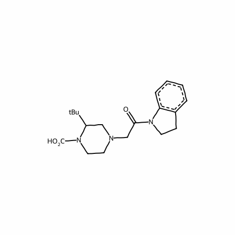 CC(C)(C)C1CN(CC(=O)N2CCc3ccccc32)CCN1C(=O)O